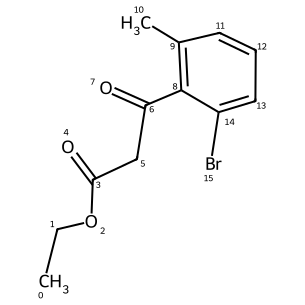 CCOC(=O)CC(=O)c1c(C)cccc1Br